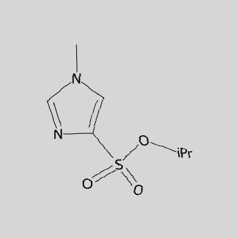 CC(C)OS(=O)(=O)c1cn(C)cn1